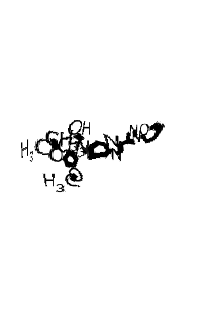 COc1cc(OC(C)(C)C)cc(N(CCO)c2ccc3ncc(-c4cnn(C5CCCCO5)c4)nc3c2)c1